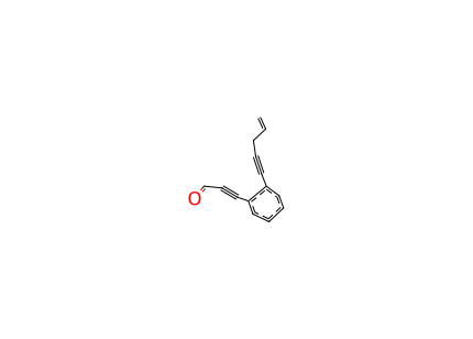 C=CCC#Cc1ccccc1C#CC=O